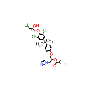 CC(=O)O[C@H](COc1ccc(C(C)(C)c2cc(Cl)c(OC[C@@H](O)CCl)c(Cl)c2)cc1)Cn1ccnc1